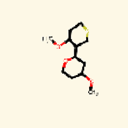 COC1CCOC(C2[C]SCCC2OC)C1